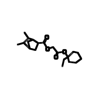 CCC1(OC(=O)COC(=O)C2CC3CC2C(C)C3C)CCCCC1